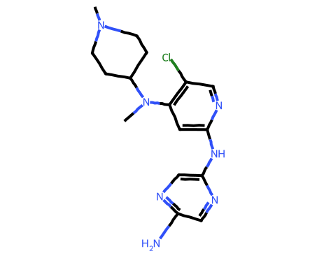 CN1CCC(N(C)c2cc(Nc3cnc(N)cn3)ncc2Cl)CC1